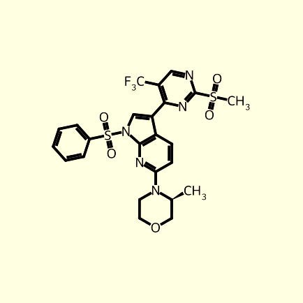 C[C@H]1COCCN1c1ccc2c(-c3nc(S(C)(=O)=O)ncc3C(F)(F)F)cn(S(=O)(=O)c3ccccc3)c2n1